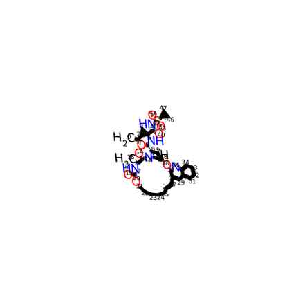 C=CC1C[C@]1(NC(=O)[C@@H]1C[C@@H]2CN1C(=O)[C@H](C)NC(=O)OCCCCC/C=C/c1cc3ccccc3nc1O2)C(=O)NS(=O)(=O)C1CC1